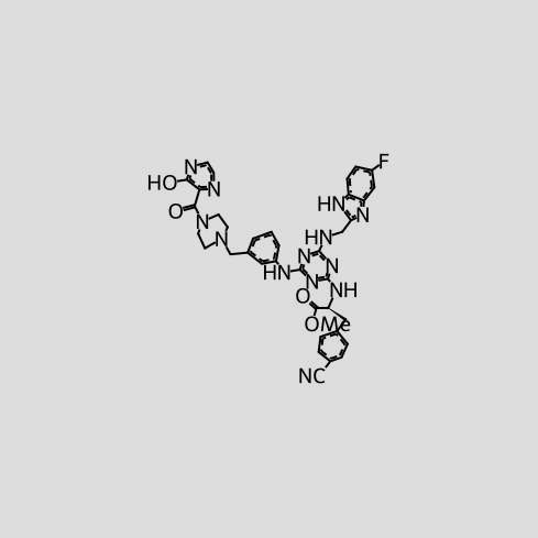 COC(=O)[C@H](Cc1ccc(C#N)cc1)Nc1nc(NCc2nc3cc(F)ccc3[nH]2)nc(Nc2cccc(CN3CCN(C(=O)c4nccnc4O)CC3)c2)n1